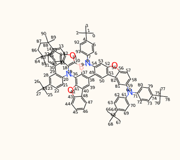 CC(C)(C)c1ccc(N2B3c4oc5cc6c(cc5c4N(c4ccc(C(C)(C)C)cc4-c4ccccc4)c4c3c(cc3c4oc4ccccc43)-c3cc4c(cc32)oc2ccc(N(c3ccc(C(C)(C)C)cc3)c3ccc(C(C)(C)C)cc3)cc24)C(C)(C)CCC6(C)C)cc1